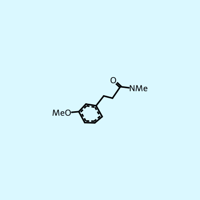 CNC(=O)CCc1cccc(OC)c1